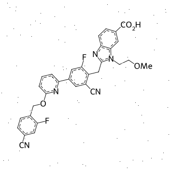 COCCn1c(Cc2c(F)cc(-c3cccc(OCc4ccc(C#N)cc4F)n3)cc2C#N)nc2ccc(C(=O)O)cc21